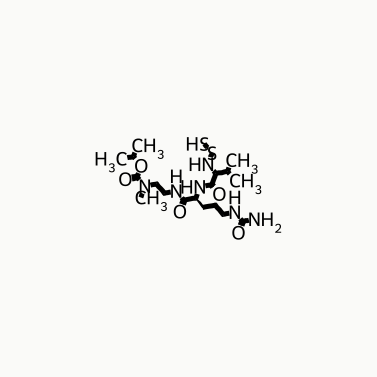 CC(C)OC(=O)N(C)CCNC(=O)[C@H](CCCNC(N)=O)NC(=O)C(NSS)C(C)C